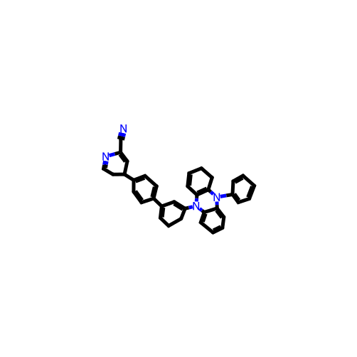 N#CC1=CC(c2ccc(C3=CCCC(N4C5=C(CCC=C5)N(c5ccccc5)c5ccccc54)=C3)cc2)CC=N1